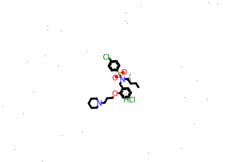 CCC[C@@H](C)N(Cc1ccccc1OCCCN1CCCCC1)S(=O)(=O)c1ccc(Cl)cc1.Cl